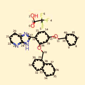 O=C(O)C(F)(F)F.c1ccc(COc2ccc(-c3nc4cccnc4[nH]3)c(OCc3cccc4ccccc34)c2)cc1